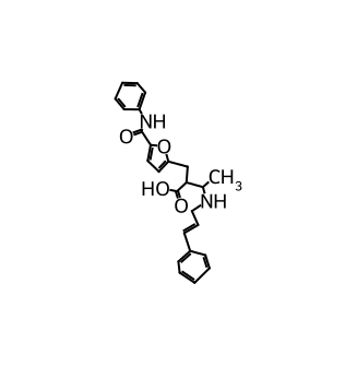 CC(NCC=Cc1ccccc1)C(Cc1ccc(C(=O)Nc2ccccc2)o1)C(=O)O